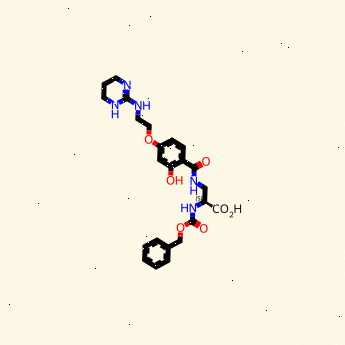 O=C(N[C@@H](CNC(=O)c1ccc(OCCNC2=NCCCN2)cc1O)C(=O)O)OCc1ccccc1